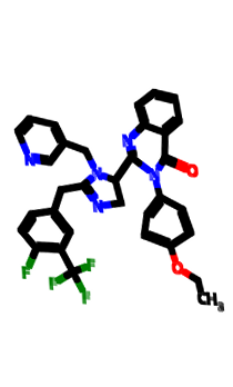 CCOc1ccc(-n2c(C3CN=C(Cc4ccc(F)c(C(F)(F)F)c4)N3Cc3cccnc3)nc3ccccc3c2=O)cc1